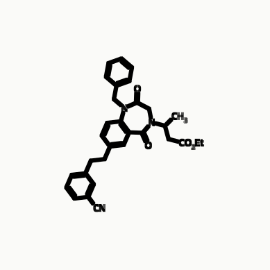 CCOC(=O)CC(C)N1CC(=O)N(Cc2ccccc2)c2ccc(CCc3cccc(C#N)c3)cc2C1=O